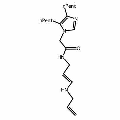 C=CCNC=CCNC(=O)Cn1cnc(CCCCC)c1CCCCC